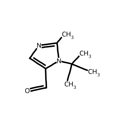 Cc1ncc(C=O)n1C(C)(C)C